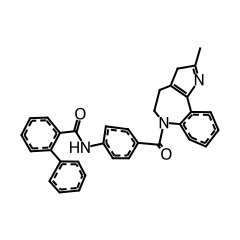 CC1=NC2=C(CCN(C(=O)c3ccc(NC(=O)c4ccccc4-c4ccccc4)cc3)c3ccccc32)C1